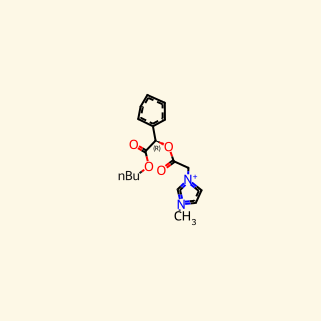 CCCCOC(=O)[C@H](OC(=O)C[n+]1ccn(C)c1)c1ccccc1